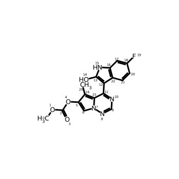 COC(=O)Oc1cn2ncnc(-c3c(O)[nH]c4cc(F)ccc34)c2c1C